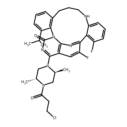 CC(C)c1cccc2c1-n1c(=O)nc(N3C[C@@H](C)N(C(=O)CCCl)C[C@@H]3C)c3cc(F)c(nc31)-c1c(F)cccc1NCCC2